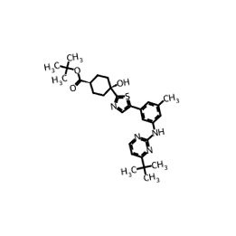 Cc1cc(Nc2nccc(C(C)(C)C)n2)cc(-c2cnc([C@]3(O)CC[C@@H](C(=O)OC(C)(C)C)CC3)s2)c1